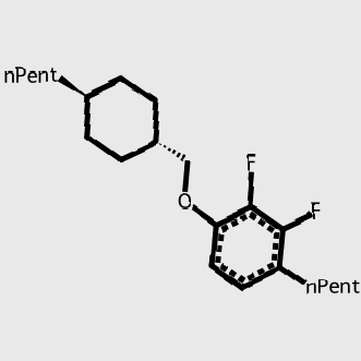 CCCCCc1ccc(OC[C@H]2CC[C@H](CCCCC)CC2)c(F)c1F